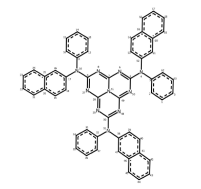 c1ccc(N(C2=NC3=NC(N(c4ccccc4)c4ccc5ccccc5c4)=NC4=NC(N(c5ccccc5)c5ccc6ccccc6c5)=NC(=N2)N34)c2ccc3ccccc3c2)cc1